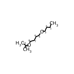 CCCCOCCCCOC(C)C